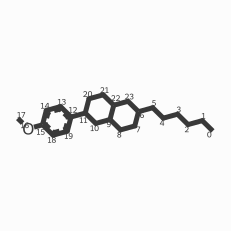 CCCCCCC1CCC2CC(c3ccc(OC)cc3)CCC2C1